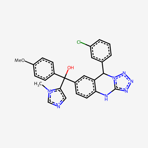 COc1ccc(C(O)(c2ccc3c(c2)C(c2cccc(Cl)c2)n2nnnc2N3)c2cncn2C)cc1